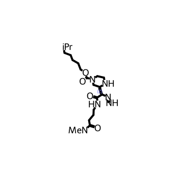 CNC(=O)CCCNC(=O)/C(N=N)=C1\CN(C(=O)OCCCCCC(C)C)CCN1